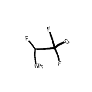 CCCC(F)C([O])(F)F